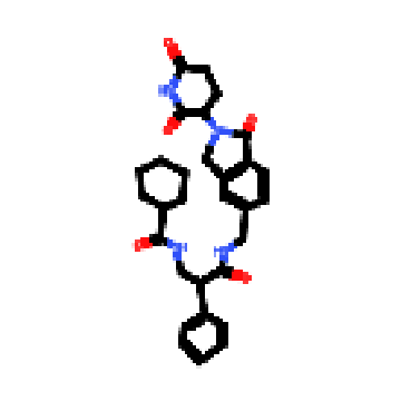 O=C1CCC(N2Cc3cc(CNC(=O)C(CNC(=O)C4CCCCC4)c4ccccc4)ccc3C2=O)C(=O)N1